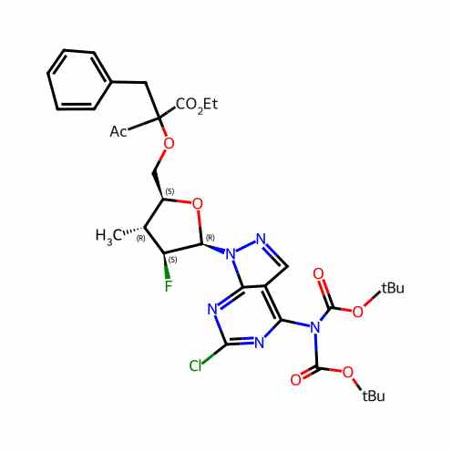 CCOC(=O)C(Cc1ccccc1)(OC[C@H]1O[C@@H](n2ncc3c(N(C(=O)OC(C)(C)C)C(=O)OC(C)(C)C)nc(Cl)nc32)[C@@H](F)[C@@H]1C)C(C)=O